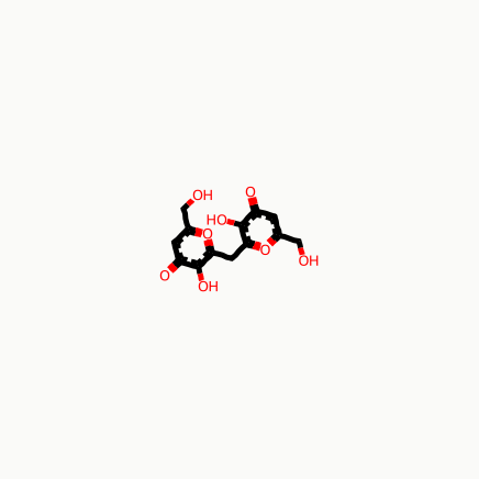 O=c1cc(CO)oc(Cc2oc(CO)cc(=O)c2O)c1O